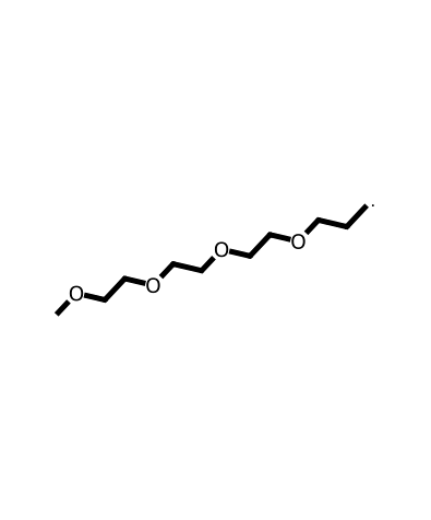 [CH2]CCOCCOCCOCCOC